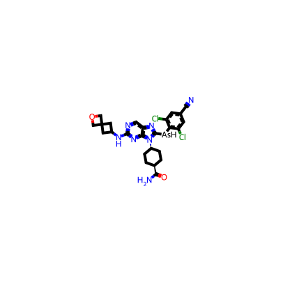 N#Cc1cc(Cl)c([AsH]c2nc3cnc(NC4CC5(COC5)C4)nc3n2[C@H]2CC[C@H](C(N)=O)CC2)c(Cl)c1